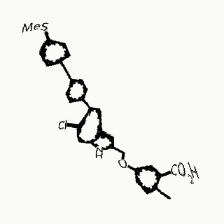 CSc1ccc(-c2ccc(-c3cc4cc(COc5ccc(C)c(C(=O)O)c5)[nH]c4cc3Cl)cc2)cc1